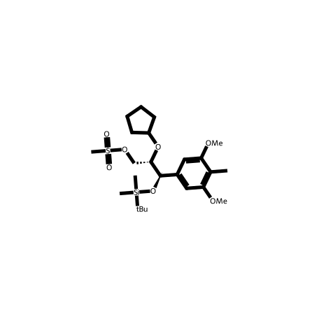 COc1cc([C@@H](O[Si](C)(C)C(C)(C)C)[C@H](COS(C)(=O)=O)OC2CCCC2)cc(OC)c1C